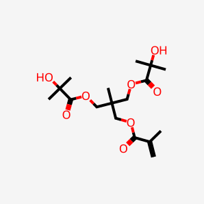 C=C(C)C(=O)OCC(C)(COC(=O)C(C)(C)O)COC(=O)C(C)(C)O